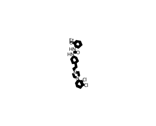 CCOc1ccccc1NC(=O)NC1CCC(CCN2CCN(c3cccc(Cl)c3Cl)CC2)CC1